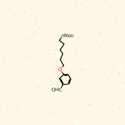 CCCCCCCCCCCCCCCOc1cccc(C=O)c1